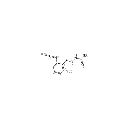 CCC(=O)NOCc1c(CC)cccc1N=C=O